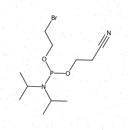 CC(C)N(C(C)C)P(OCCBr)OCCC#N